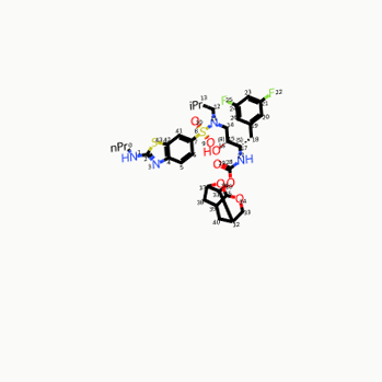 CCCNc1nc2ccc(S(=O)(=O)N(CC(C)C)C[C@@H](O)[C@H](Cc3cc(F)cc(F)c3)NC(=O)OC3C4COC5OC3CC5C4)cc2s1